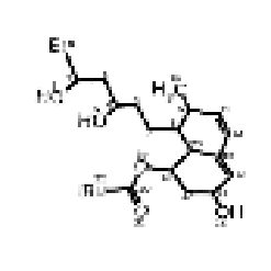 CCC(O)CC(O)CCC1C(C)C=CC2=CC(O)CC(OC(=O)C(C)CC)C21